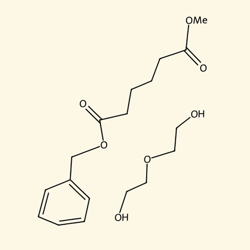 COC(=O)CCCCC(=O)OCc1ccccc1.OCCOCCO